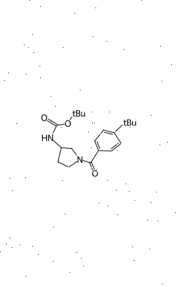 CC(C)(C)OC(=O)NC1CCN(C(=O)c2ccc(C(C)(C)C)cc2)C1